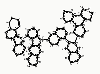 C1=Cc2c(ccc3c4ccccc4n(-c4cccc5c4c4cc6ccccc6cc4n5-c4ccc5c(-c6nc7ccccc7nc6-c6ccc7c8ccccc8c8ccccc8c7c6)cccc5c4)c23)CC1